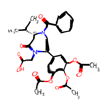 CC(=O)Oc1cc(C2=CN(C(=O)c3ccccc3)[C@@H](C(C)C)C(=O)N2CC(=O)O)cc(OC(C)=O)c1OC(C)=O